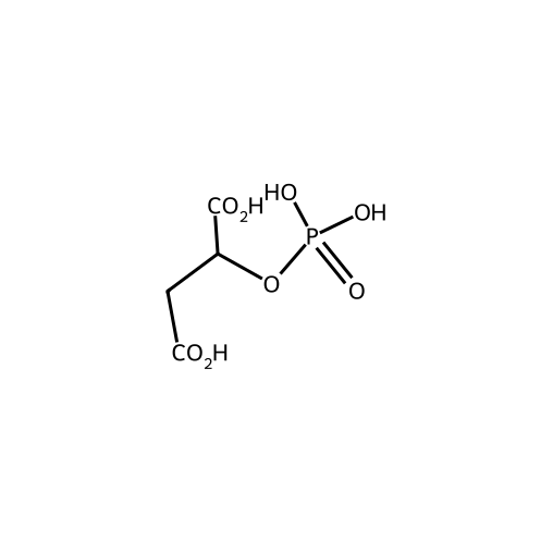 O=C(O)CC(OP(=O)(O)O)C(=O)O